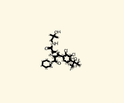 CC(C)(O)CNC(=O)c1nc(C(=O)N2CCCCC2)c(-c2ccc(C(O)(C(F)(F)F)C(F)(F)F)c(Cl)c2Cl)s1